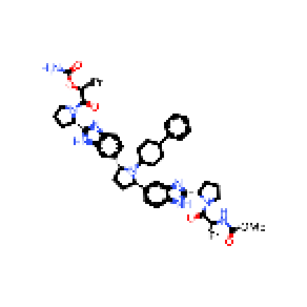 COC(=O)N[C@H](C(=O)N1CCC[C@H]1c1nc2cc([C@H]3CC[C@H](c4ccc5nc([C@@H]6CCCN6C(=O)C(OC(N)=O)C(C)C)[nH]c5c4)N3C3CCC(c4ccccc4)CC3)ccc2[nH]1)C(C)C